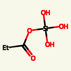 CCC(=O)O[Si](O)(O)O